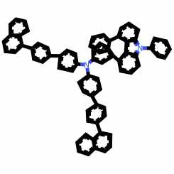 c1ccc(-c2cccc3c2c2c(-c4cccc(N(c5ccc(-c6ccc(-c7cccc8ccccc78)cc6)cc5)c5ccc(-c6ccc(-c7cccc8ccccc78)cc6)cc5)c4)cccc2n3-c2ccccc2)cc1